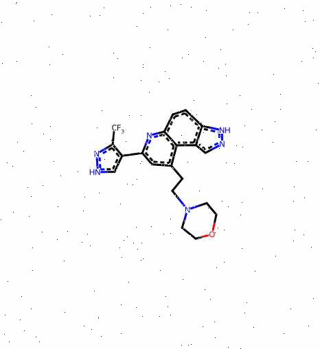 FC(F)(F)c1n[nH]cc1-c1cc(CCN2CCOCC2)c2c(ccc3[nH]ncc32)n1